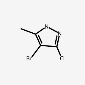 CC1=C(Br)C(Cl)=N[N]1